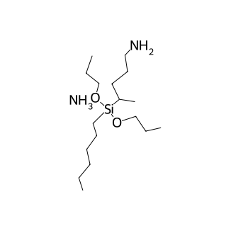 CCCCCC[Si](OCCC)(OCCC)C(C)CCCN.N